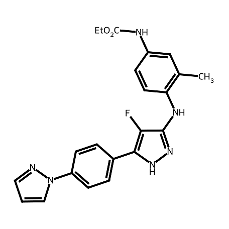 CCOC(=O)Nc1ccc(Nc2n[nH]c(-c3ccc(-n4cccn4)cc3)c2F)c(C)c1